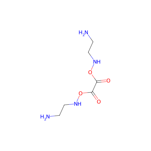 NCCNOC(=O)C(=O)ONCCN